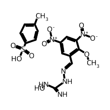 COc1c(C=NNC(=N)NO)cc([N+](=O)[O-])cc1[N+](=O)[O-].Cc1ccc(S(=O)(=O)O)cc1